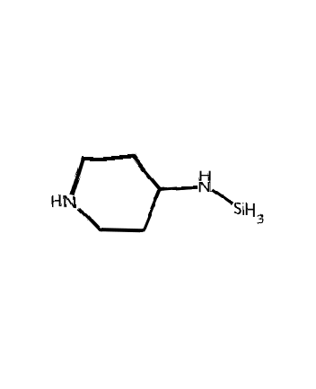 [SiH3]NC1CCNCC1